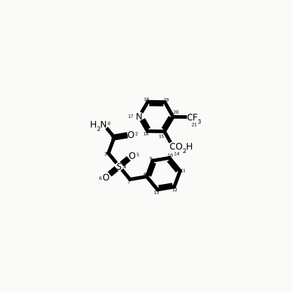 NC(=O)CS(=O)(=O)Cc1ccccc1.O=C(O)c1cnccc1C(F)(F)F